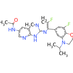 C=N/C(=N\C(=C(/C)F)c1cc(F)c2c(c1)N(C(C)C)CCO2)Nc1ccc(NC(C)=O)cn1